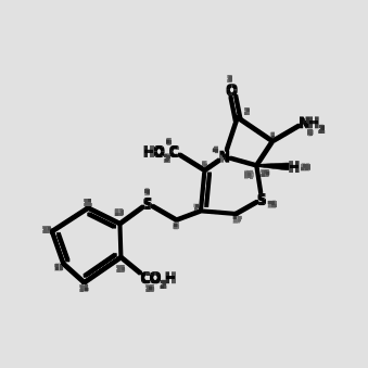 NC1C(=O)N2C(C(=O)O)=C(CSc3ccccc3C(=O)O)CS[C@@H]12